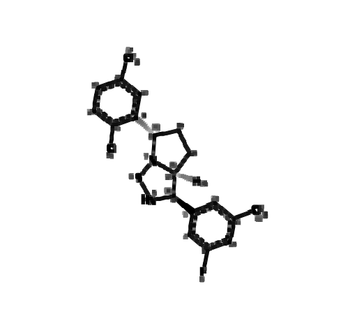 Fc1cc([C@H]2NSN3[C@H](c4cc(C(F)(F)F)ccc4Cl)CC[C@@H]23)cc(C(F)(F)F)c1